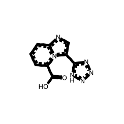 O=C(O)c1cccc2ncc(-c3nnn[nH]3)n12